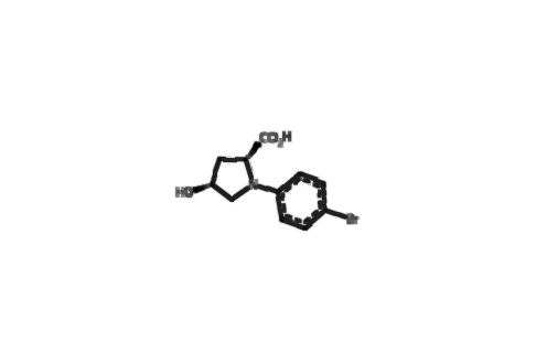 O=C(O)[C@@H]1C[C@H](O)CN1c1ccc(Br)cc1